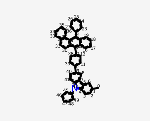 Cc1ccc2c(c1)c1cc(-c3ccc(-c4c5ccccc5c(-c5ccccc5)c5c4ccc4ccccc45)cc3)ccc1n2-c1ccccc1